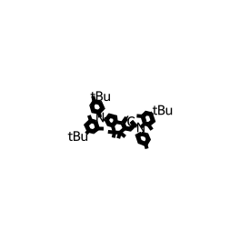 Cc1ccc(N(c2ccc3c(c2)C(C)(C)C(C)(C)c2cc(N(c4ccc(C(C)(C)C)cc4)c4c(C)cc(C(C)(C)C)cc4C)ccc2-3)c2c(C)cc(C(C)(C)C)cc2C)cc1